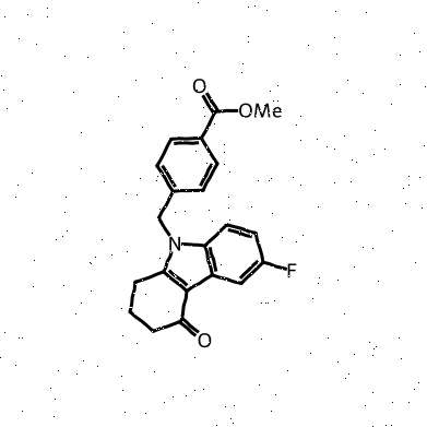 COC(=O)c1ccc(Cn2c3c(c4cc(F)ccc42)C(=O)CCC3)cc1